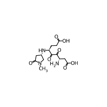 CN1C[C@@H](N[C@@H](CCC(=O)O)C(=O)C(=O)[C@@H](N)CC(=O)O)CC1=O